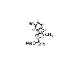 CO[C@@H](CC[C@]1(C)Cc2ccc(Br)cc2C1=O)C(C)C